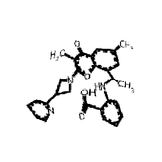 Cc1cc([C@@H](C)Nc2ccccc2C(=O)O)c2oc(N3CC(c4ccccn4)C3)c(C)c(=O)c2c1